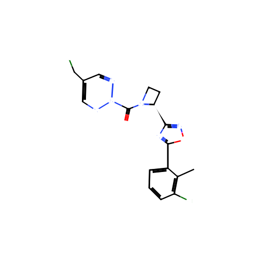 Cc1c(Cl)cccc1-c1nc([C@@H]2CCN2C(=O)N2N=CC(CCl)=CN2)no1